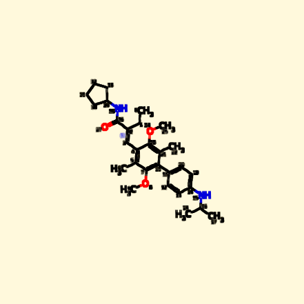 CC/C(=C\c1c(C)c(OC)c(-c2ccc(NC(C)C)cc2)c(C)c1OC)C(=O)NC1CCCC1